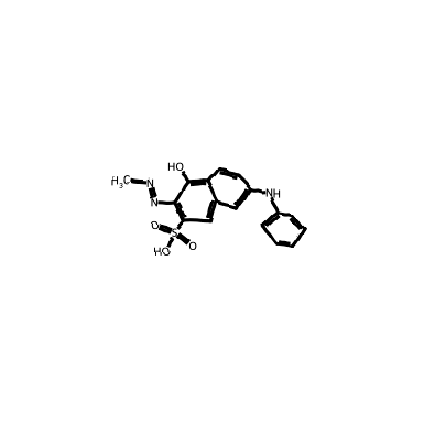 CN=Nc1c(S(=O)(=O)O)cc2cc(Nc3ccccc3)ccc2c1O